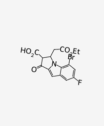 CCOC(=O)CC1C(C(=O)O)C(=O)c2cc3cc(F)cc(Br)c3n21